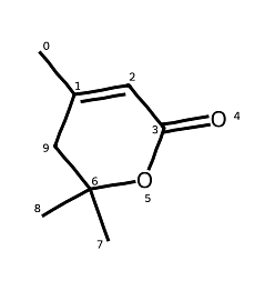 CC1=CC(=O)OC(C)(C)C1